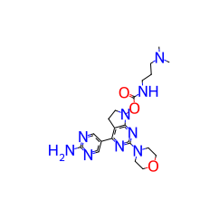 CN(C)CCCNC(=O)ON1CCc2c(-c3cnc(N)nc3)nc(N3CCOCC3)nc21